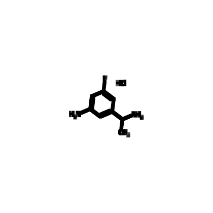 CC(N)c1cc(N)cc(F)c1.Cl